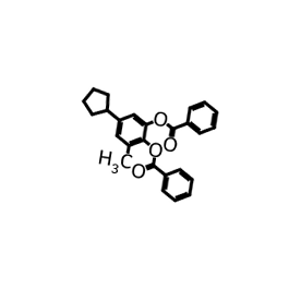 Cc1cc(C2CCCC2)cc(OC(=O)c2ccccc2)c1OC(=O)c1ccccc1